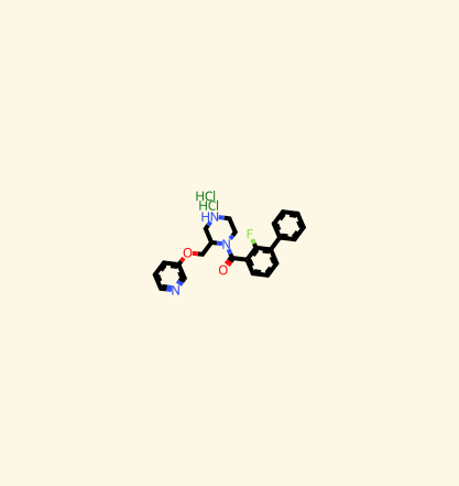 Cl.Cl.O=C(c1cccc(-c2ccccc2)c1F)N1CCNCC1COc1cccnc1